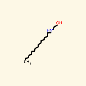 CCCCCCCCCCCCCCCCCNCCCO